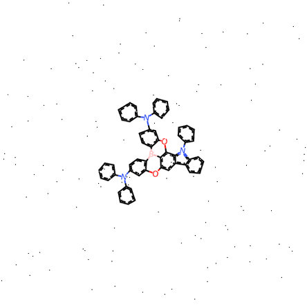 c1ccc(N(c2ccccc2)c2ccc3c(c2)Oc2cc4c5ccccc5n(-c5ccccc5)c4c4c2B3c2ccc(N(c3ccccc3)c3ccccc3)cc2O4)cc1